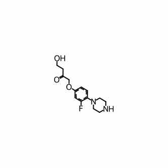 O=C(CCO)COc1ccc(N2CCNCC2)c(F)c1